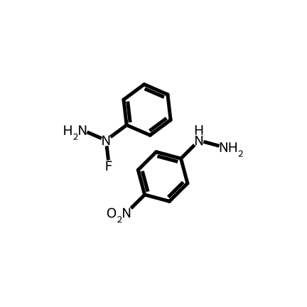 NN(F)c1ccccc1.NNc1ccc([N+](=O)[O-])cc1